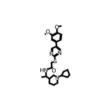 COc1ccc(-c2cnc(SCC(=O)NC(C)C3CCCN(C4CCCC4)C3)nc2)cc1OC